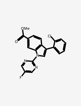 COC(=O)c1ccc2c(-c3ccccc3Cl)cn(-c3ncc(F)cn3)c2c1